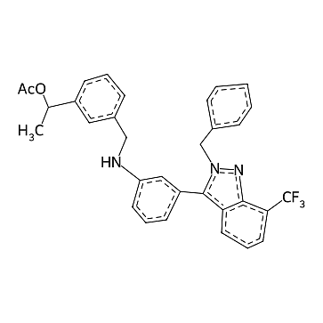 CC(=O)OC(C)c1cccc(CNc2cccc(-c3c4cccc(C(F)(F)F)c4nn3Cc3ccccc3)c2)c1